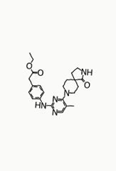 CCOC(=O)Cc1ccc(Nc2ncc(C)c(N3CCC4(CCNC4=O)CC3)n2)cc1